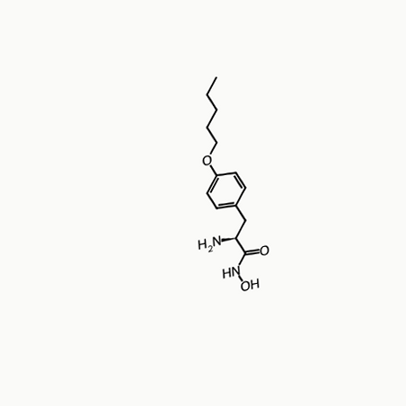 CCCCCOc1ccc(C[C@H](N)C(=O)NO)cc1